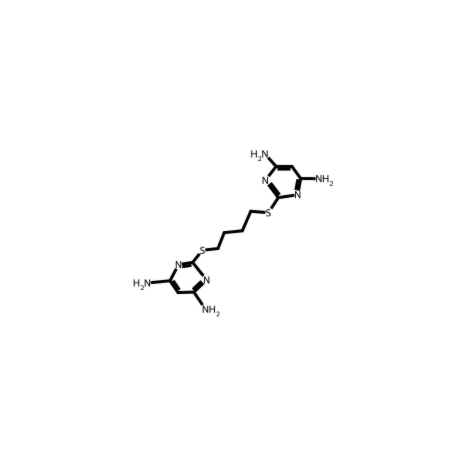 Nc1cc(N)nc(SCCCCSc2nc(N)cc(N)n2)n1